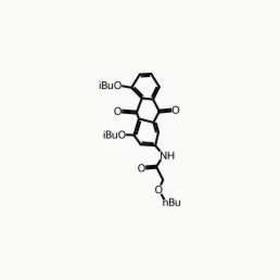 CCCCOCC(=O)Nc1cc(OCC(C)C)c2c(c1)C(=O)c1cccc(OCC(C)C)c1C2=O